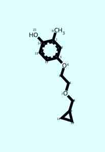 Cc1cc(OCCOCC2CC2)ccc1O